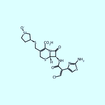 Nc1nc(/C(=C/Cl)C(=O)N[C@@H]2C(=O)N3C(C(=O)O)=C(CS[C@H]4CC[S@@+]([O-])C4)CS[C@@H]23)cs1